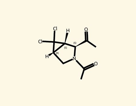 CC(=O)[C@@H]1[C@@H]2[C@H](CN1C(C)=O)C2(Cl)Cl